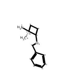 C[C@]1(N)CCC1OCc1ccccc1